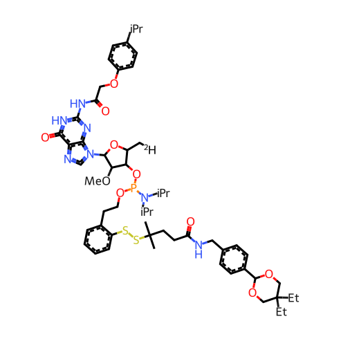 [2H]CC1OC(n2cnc3c(=O)[nH]c(NC(=O)COc4ccc(C(C)C)cc4)nc32)C(OC)C1OP(OCCc1ccccc1SSC(C)(C)CCC(=O)NCc1ccc(C2OCC(CC)(CC)CO2)cc1)N(C(C)C)C(C)C